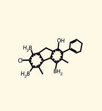 Bc1c(C)c2c(c(B)c1Cl)Cc1c(O)c(C3=CCCC=C3)c(C)c(B)c1-2